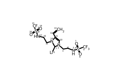 [Li][CH]1N(CCNS(=O)(=O)C(F)(F)F)C=C(C=C)N1CCNS(=O)(=O)C(F)(F)F